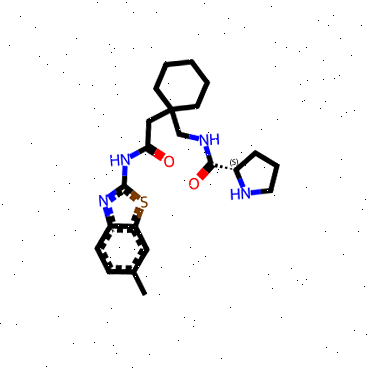 Cc1ccc2nc(NC(=O)CC3(CNC(=O)[C@@H]4CCCN4)CCCCC3)sc2c1